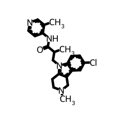 Cc1cnccc1NC(=O)C(C)Cn1c2c(c3cc(Cl)ccc31)CN(C)CC2